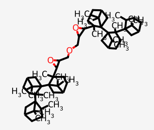 CC1CCC2CC1(C1(C)CCC3CC1(C14CC(CCC1(C)C1OC1COCC1OC1C1(C)CCC5CC1(C16CC(CCC1(C)C17CC(CCC1C)C7(C)C)C6(C)C)C5(C)C)C4(C)C)C3(C)C)C2(C)C